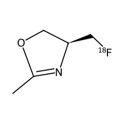 CC1=N[C@H](C[18F])CO1